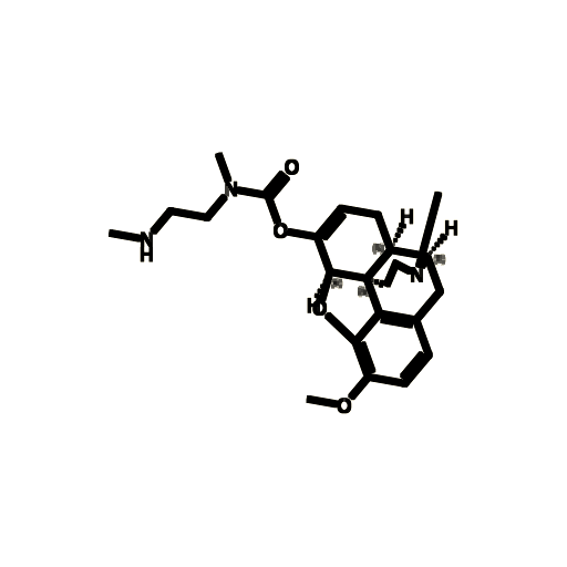 CNCCN(C)C(=O)OC1=CC[C@H]2[C@H]3Cc4ccc(OC)c5c4[C@@]2(CCN3C)[C@H]1O5